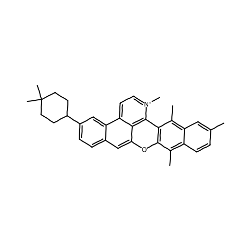 Cc1ccc2c(C)c3c(c(C)c2c1)-c1c2c(cc4ccc(C5CCC(C)(C)CC5)cc4c2cc[n+]1C)O3